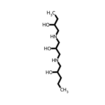 CCCC(O)CNCC(O)CNCC(O)CC